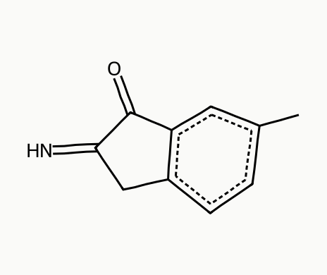 Cc1ccc2c(c1)C(=O)C(=N)C2